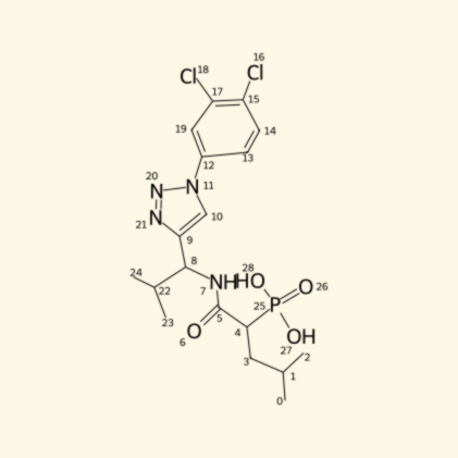 CC(C)CC(C(=O)NC(c1cn(-c2ccc(Cl)c(Cl)c2)nn1)C(C)C)P(=O)(O)O